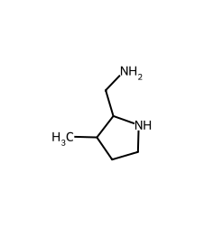 CC1CCNC1CN